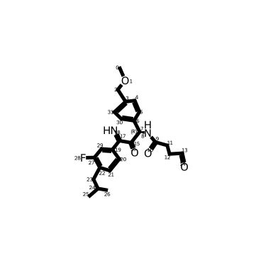 COCc1ccc([C@@H](NC(=O)CCC=O)C(=O)C(=N)c2ccc(CC(C)C)c(F)c2)cc1